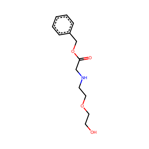 O=C(CNCCOCCO)OCc1ccccc1